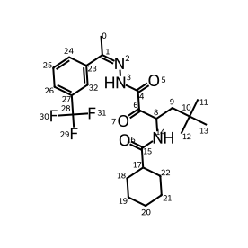 CC(=NNC(=O)C(=O)C(CC(C)(C)C)NC(=O)C1CCCCC1)c1cccc(C(F)(F)F)c1